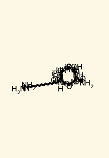 CC[C@H](C)[C@H]1NC(=O)[C@H](C(C)C)NC(=O)[C@@H](NC(=O)CC(O)CCCCCCCCCCCCN=C(N)N)[C@H](C)OC(=O)[C@H](C)NC(=O)[C@H](CCC(N)=O)NC(=O)[C@H]([C@H](C)O)NC1=O